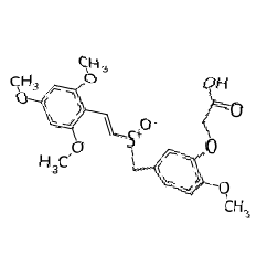 COc1cc(OC)c(C=C[S+]([O-])Cc2ccc(OC)c(OCC(=O)O)c2)c(OC)c1